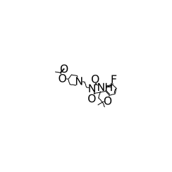 CC(=O)OC1CCN(CCN2C(=O)NC3(CC(C)(C)Oc4ccc(F)cc43)C2=O)CC1